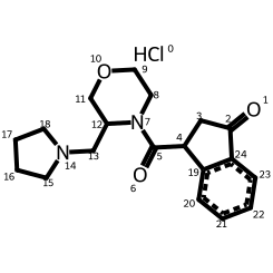 Cl.O=C1CC(C(=O)N2CCOCC2CN2CCCC2)c2ccccc21